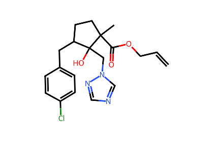 C=CCOC(=O)C1(C)CCC(Cc2ccc(Cl)cc2)C1(O)Cn1cncn1